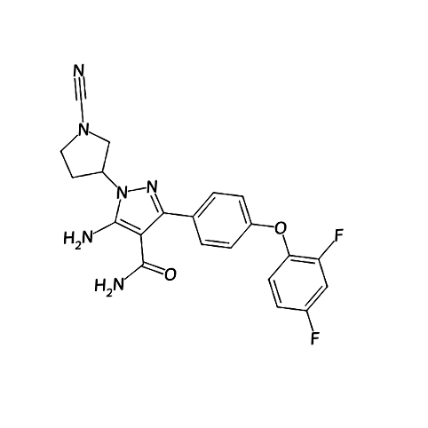 N#CN1CCC(n2nc(-c3ccc(Oc4ccc(F)cc4F)cc3)c(C(N)=O)c2N)C1